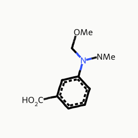 CNN(COC)c1cccc(C(=O)O)c1